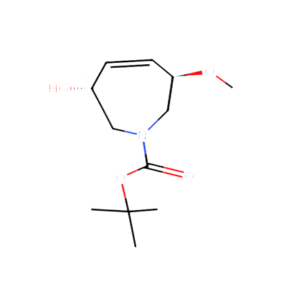 CO[C@@H]1C=C[C@@H](O)CN(C(=O)OC(C)(C)C)C1